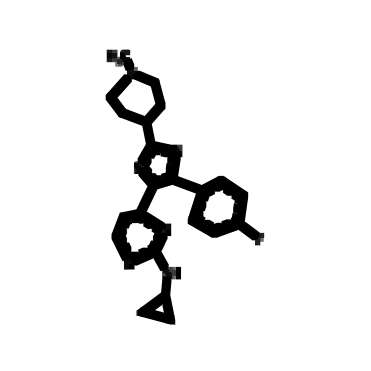 CN1CCC(c2nc(-c3ccc(F)cc3)c(-c3ccnc(NC4CC4)n3)s2)CC1